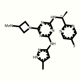 CNC1CN(c2nc(Nc3cc(C)[nH]n3)nc(N[C@@H](C)c3ncc(F)cn3)n2)C1